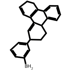 Bc1cccc(C2C=C3C4=C(CCC=C4)c4ccccc4C3CC2)c1